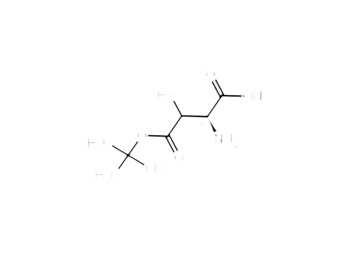 CC(C)(C)OC(=O)C(S)[C@H](N)C(=O)O